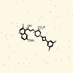 COc1ccc2ncc(F)c([C@@H](O)CC[C@@H]3CCN(C4CC(c5cc(F)cc(F)c5)C4)C[C@@H]3C(=O)O)c2c1